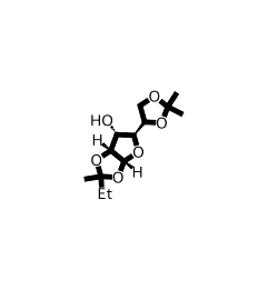 CCC1(C)O[C@H]2O[C@H](C3COC(C)(C)O3)[C@@H](O)[C@H]2O1